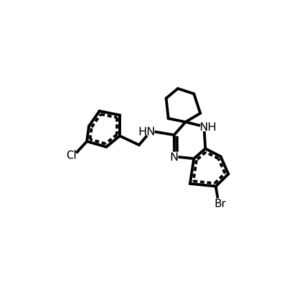 Clc1cccc(CNC2=Nc3cc(Br)ccc3NC23CCCCC3)c1